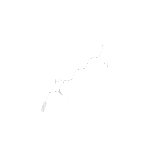 C#CCC(=O)NCCCCC(N)C(C)=O